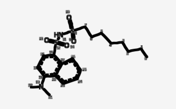 CCCCCCCCS(=O)(=O)NS(=O)(=O)c1ccc(N(C)C)c2ccccc12